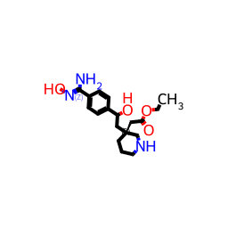 CCOC(=O)C[C@]1(CC(O)c2ccc(/C(N)=N/O)cc2)CCCNC1